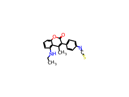 CCNc1cccc2oc(=O)c(-c3ccc(N=C=S)cc3)c(C)c12